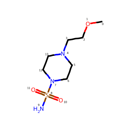 COCCN1CCN(S(N)(=O)=O)CC1